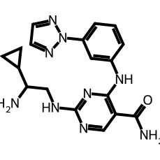 NC(=O)c1cnc(NCC(N)C2CC2)nc1Nc1cccc(-n2nccn2)c1